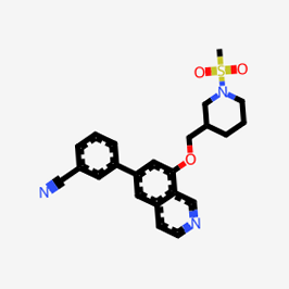 CS(=O)(=O)N1CCCC(COc2cc(-c3cccc(C#N)c3)cc3ccncc23)C1